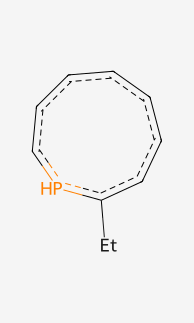 CCc1ccccccc[pH]1